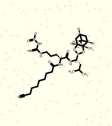 CC(C)C[C@H](NC(=O)[C@H](CCCNC(=N)N[N+](=O)[O-])NC(=O)CCCCCCCC#N)B1O[C@@H]2C[C@@H]3C[C@@H](C3(C)C)[C@]2(C)O1